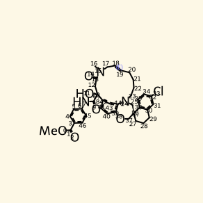 COC(=O)c1ccc(NC(=O)[C@]2(O)CC(=O)N(C)C/C=C/CCCCN3C[C@@]4(CCCc5cc(Cl)ccc54)COc4ccc2cc43)cc1